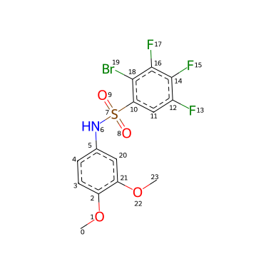 COc1ccc(NS(=O)(=O)c2cc(F)c(F)c(F)c2Br)cc1OC